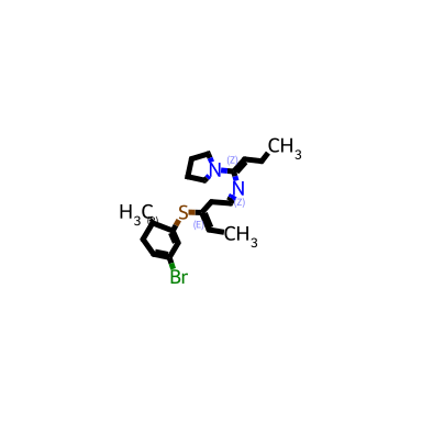 C/C=C(\C/C=N\C(=C/CC)N1CCCC1)SC1=CC(Br)=CC[C@H]1C